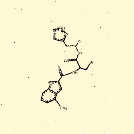 COc1cccc2[nH]c(C(=O)NC(CC(C)C)C(=O)NC(C#N)Cc3cc[nH]n3)cc12